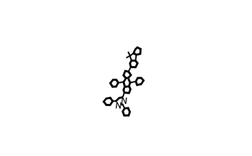 CC1(C)c2ccccc2-c2ccc(-c3ccc4c(-c5ccccc5)c5cc(-c6cc(-c7ccccc7)nc(-c7ccccc7)n6)ccc5c(-c5ccccc5)c4c3)cc21